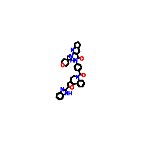 O=C(Nc1ccc(C(=O)N2CCc3cc(-c4nc5ccccc5[nH]4)oc3-c3ccccc32)cc1)c1cc2c(nc1N1CC3(CCOCC3)C1)CCC2